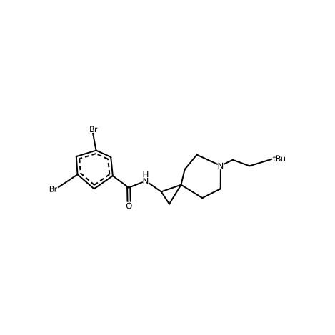 CC(C)(C)CCN1CCC2(CC1)CC2NC(=O)c1cc(Br)cc(Br)c1